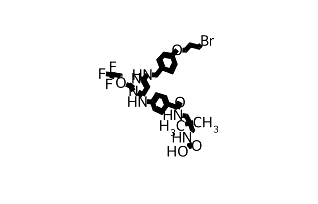 CC(C)(CNC(=O)O)CNC(=O)c1ccc(Nc2cc(NCc3ccc(OCCCBr)cc3)nc(OCC(F)(F)F)n2)cc1